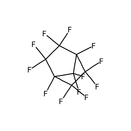 FC1(F)C(F)(F)C2(F)C(F)(F)C(F)(F)C1(F)C2(F)F